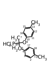 Cc1ccc(OC(C)(P)Oc2ccc(C)cc2)cc1.Cl